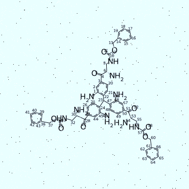 Nc1cc(C(=O)[C@@H](N)CNC(=O)OCc2ccccc2)ccc1C(c1ccc(C(=O)[C@@H](N)CNC(=O)OCc2ccccc2)cc1N)c1ccc(C(=O)[C@@H](N)CNC(=O)OCc2ccccc2)cc1N